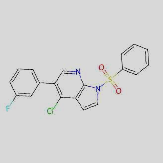 O=S(=O)(c1ccccc1)n1ccc2c(Cl)c(-c3cccc(F)c3)cnc21